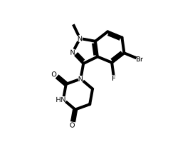 Cn1nc(N2CCC(=O)NC2=O)c2c(F)c(Br)ccc21